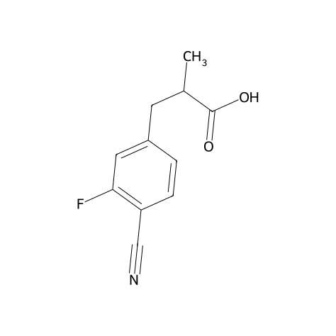 CC(Cc1ccc(C#N)c(F)c1)C(=O)O